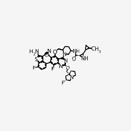 CC1CC1C1N[C@H]1C(=O)NC1CCC2COc3c(Cl)c(-c4ccc(F)c5sc(N)c(C#N)c45)c(F)c4nc(OC[C@@]56CCCN5C[C@H](F)C6)nc(c34)N2C1